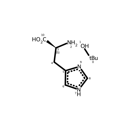 CC(C)(C)O.N[C@@H](Cc1c[nH]cn1)C(=O)O